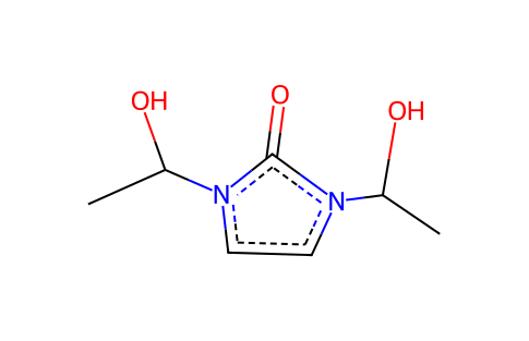 CC(O)n1ccn(C(C)O)c1=O